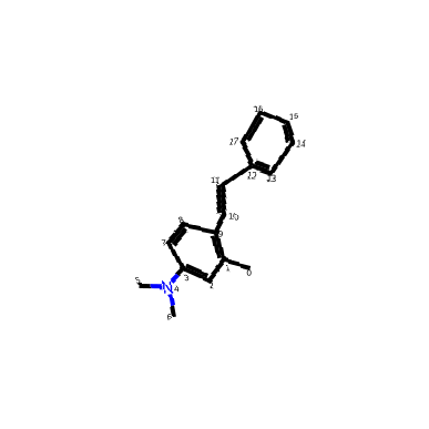 Cc1cc(N(C)C)ccc1C=Cc1ccccc1